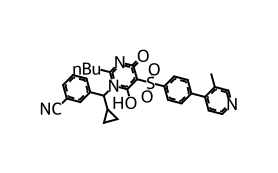 CCCCc1nc(=O)c(S(=O)(=O)c2ccc(-c3ccncc3C)cc2)c(O)n1C(c1cccc(C#N)c1)C1CC1